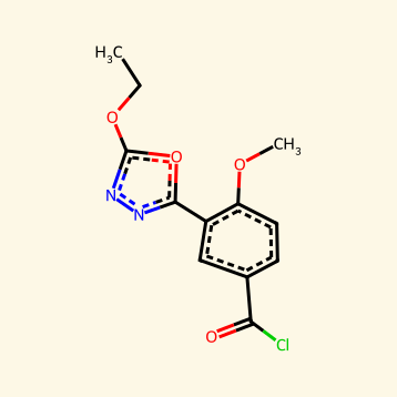 CCOc1nnc(-c2cc(C(=O)Cl)ccc2OC)o1